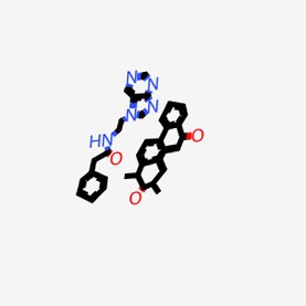 CC1C=c2c(ccc3c2=CC(=O)c2ccccc2-3)C(C)C1=O.O=C(Cc1ccccc1)NCCn1cnc2ncncc21